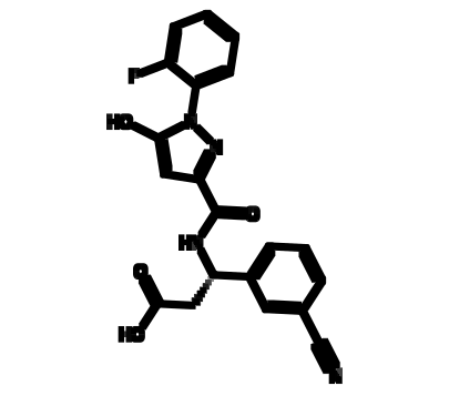 N#Cc1cccc([C@H](CC(=O)O)NC(=O)c2cc(O)n(-c3ccccc3F)n2)c1